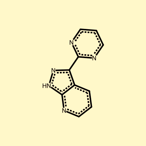 c1cnc(-c2n[nH]c3ncccc23)nc1